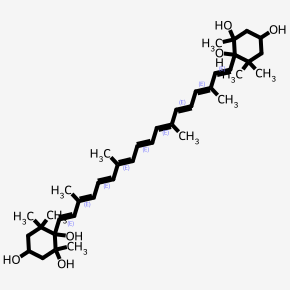 CC(/C=C/C=C(C)/C=C/C1(O)C(C)(C)CC(O)CC1(C)O)=C\C=C\C=C(C)\C=C\C=C(C)\C=C\C1(O)C(C)(C)CC(O)CC1(C)O